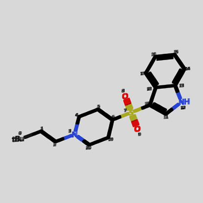 CC(C)(C)CCN1CCC(S(=O)(=O)c2c[nH]c3ccccc23)CC1